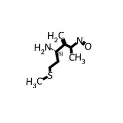 C=C(C(C)N=O)[C@@H](N)CCSC